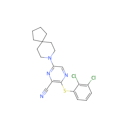 N#Cc1nc(N2CCC3(CCCC3)CC2)cnc1Sc1cccc(Cl)c1Cl